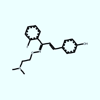 CN(C)CCON=C(/C=C/c1ccc(O)cc1)c1ccccc1F